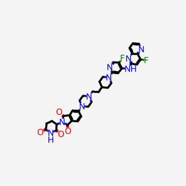 O=C1CCC(N2C(=O)c3ccc(N4CCN(CCC5CCN(c6cc(Nc7cc(F)c8ncccc8n7)c(F)cn6)CC5)CC4)cc3C2=O)C(=O)N1